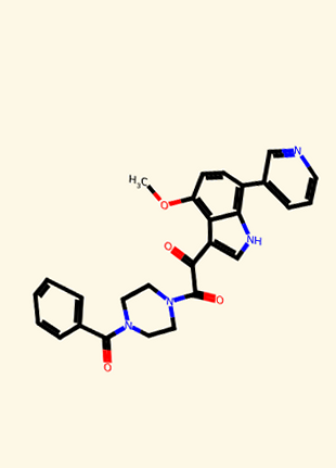 COc1ccc(-c2cccnc2)c2[nH]cc(C(=O)C(=O)N3CCN(C(=O)c4ccccc4)CC3)c12